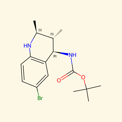 C[C@H]1[C@H](C)Nc2ccc(Br)cc2[C@@H]1NC(=O)OC(C)(C)C